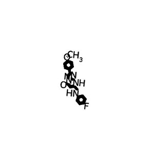 COc1ccc(-c2nc3[nH]c(CNc4ccc(F)cc4)cc(=O)n3n2)cc1